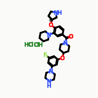 Cl.Cl.O=C(c1ccc(O[C@H]2CCNC2)c(N2CCCCC2)c1)N1CCC(Oc2cc(F)cc(N3CCNCC3)c2)CC1